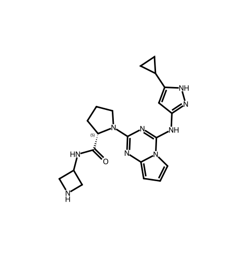 O=C(NC1CNC1)[C@@H]1CCCN1c1nc(Nc2cc(C3CC3)[nH]n2)n2cccc2n1